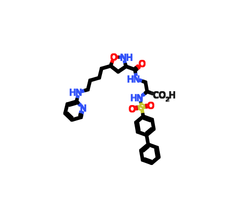 O=C(O)C(CNC(=O)C1CC(CCCCNc2ccccn2)ON1)NS(=O)(=O)c1ccc(-c2ccccc2)cc1